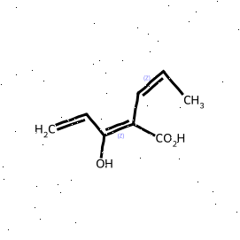 C=C/C(O)=C(\C=C/C)C(=O)O